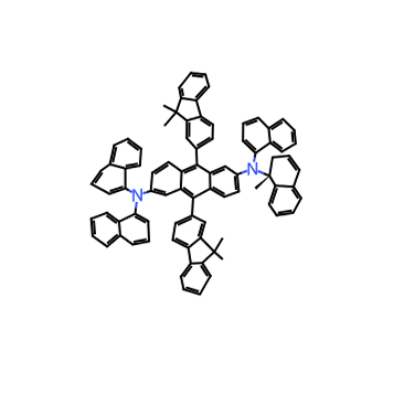 CC1(C)c2ccccc2-c2ccc(-c3c4ccc(N(c5cccc6ccccc56)[C@]5(C)CC=Cc6ccccc65)cc4c(-c4ccc5c(c4)C(C)(C)c4ccccc4-5)c4ccc(N(c5cccc6ccccc56)c5cccc6ccccc56)cc34)cc21